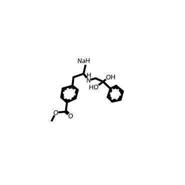 COC(=O)c1ccc(CC(C)NCC(O)(O)c2ccccc2)cc1.[NaH]